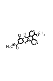 COC(=O)c1cc(Cl)c(Nc2nc3ccncc3c3c(OC)nccc23)c(Cl)c1